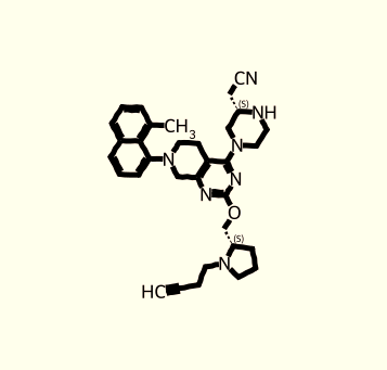 C#CCCN1CCC[C@H]1COc1nc2c(c(N3CCN[C@@H](CC#N)C3)n1)CCN(c1cccc3cccc(C)c13)C2